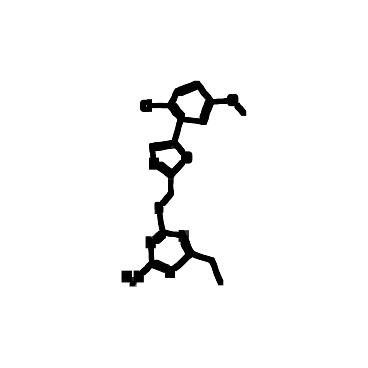 CCc1nc(N)nc(SCc2ncc(-c3cc(OC)ccc3Cl)o2)n1